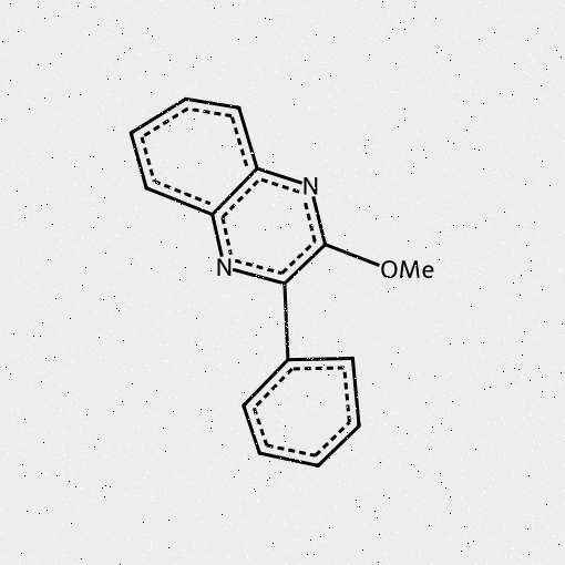 COc1nc2ccccc2nc1-c1ccccc1